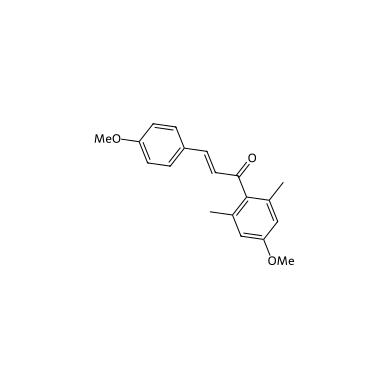 COc1ccc(C=CC(=O)c2c(C)cc(OC)cc2C)cc1